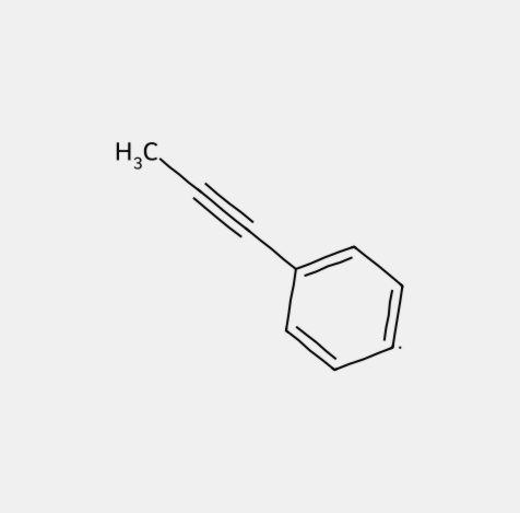 CC#Cc1cc[c]cc1